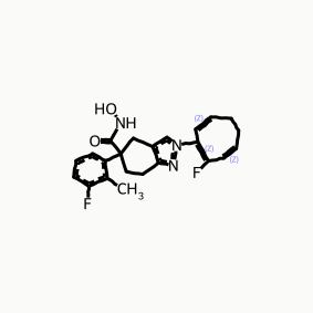 Cc1c(F)cccc1C1(C(=O)NO)CCc2nn(C3=C(F)/C=C\CC/C=C\3)cc2C1